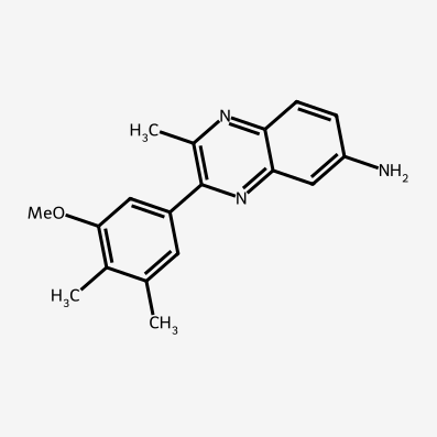 COc1cc(-c2nc3cc(N)ccc3nc2C)cc(C)c1C